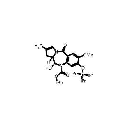 COc1cc2c(cc1O[Si](C(C)C)(C(C)C)C(C)C)N(C(=O)OC(C)(C)C)[C@@H](O)[C@@H]1CC(C)=CN1C2=O